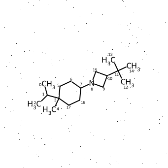 CC(C)C1(C)CCC(N2CC(C(C)(C)C)C2)CC1